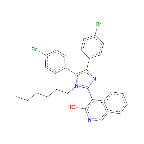 CCCCCCn1c(-c2c(O)ncc3ccccc23)nc(-c2ccc(Br)cc2)c1-c1ccc(Br)cc1